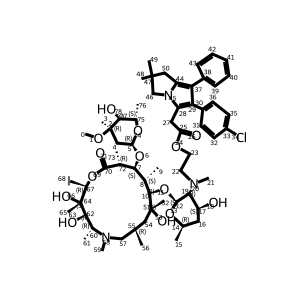 CO[C@]1(C)C[C@H](O[C@H]2[C@H](C)[C@@H](O[C@@H]3O[C@H](C)C[C@H](O)[C@H]3N(C)CCOC(=O)Cc3c(-c4ccc(Cl)cc4)c(-c4ccccc4)c4n3CC(C)(C)C4)[C@](C)(O)C[C@@H](C)CN(C)[C@H](C)[C@@H](O)[C@](C)(O)[C@@H](I)OC(=O)[C@@H]2C)O[C@@H](C)[C@@H]1O